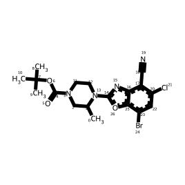 CC1CN(C(=O)OC(C)(C)C)CCN1c1nc2c(C#N)c(Cl)cc(Br)c2o1